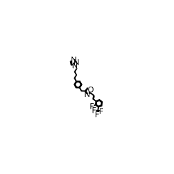 Fc1c(/C=C/c2nc(Cc3ccc(CCCCn4ccnn4)cc3)co2)cccc1C(F)(F)F